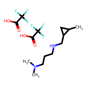 CC1CC1CNCCCN(C)C.O=C(O)C(F)(F)F.O=C(O)C(F)(F)F